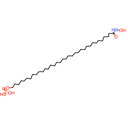 O=C(CCCCCCCCCCCCCCCCCCCCCCCCCCCCCCCCCCOP(=O)(O)O)NO